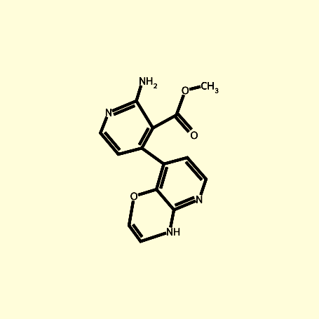 COC(=O)c1c(-c2ccnc3c2OC=CN3)ccnc1N